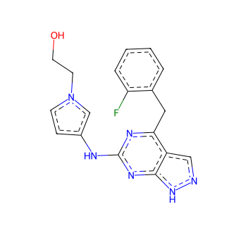 OCCn1ccc(Nc2nc(Cc3ccccc3F)c3cn[nH]c3n2)c1